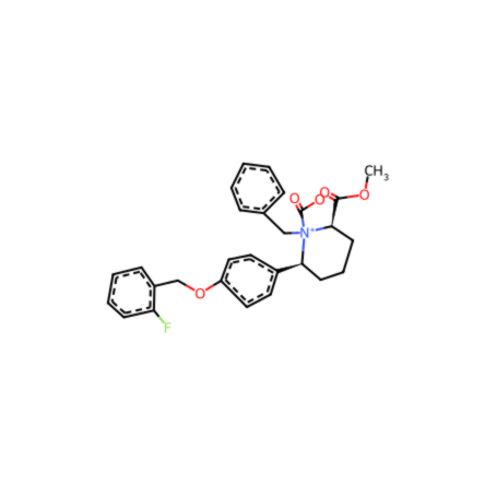 COC(=O)[C@H]1CCC[C@@H](c2ccc(OCc3ccccc3F)cc2)[N+]1(Cc1ccccc1)C(=O)[O-]